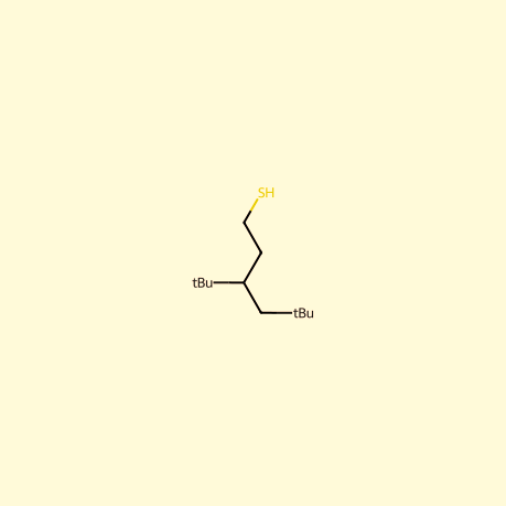 CC(C)(C)CC(CCS)C(C)(C)C